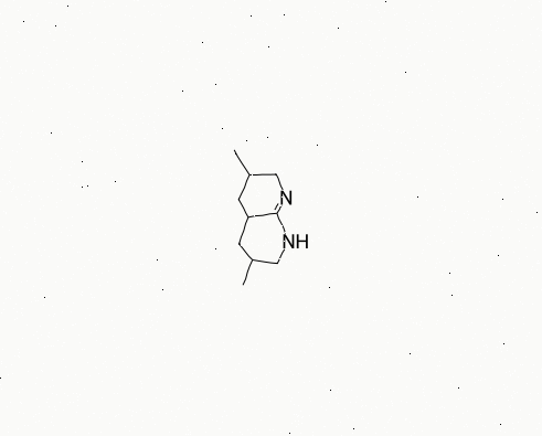 CC1CN=C2NCC(C)CC2C1